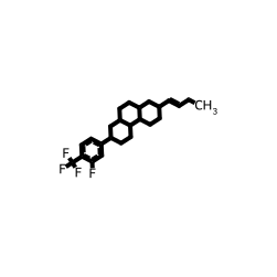 CC/C=C/C1CCC2C(CCC3CC(c4ccc(C(F)(F)F)c(F)c4)CCC32)C1